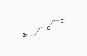 ClCOCCBr